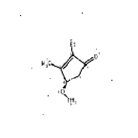 CCC1=C(C)[C@H](OP)CC1=O